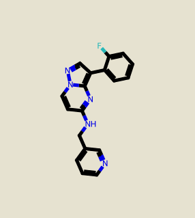 Fc1ccccc1-c1cnn2ccc(NCc3cccnc3)nc12